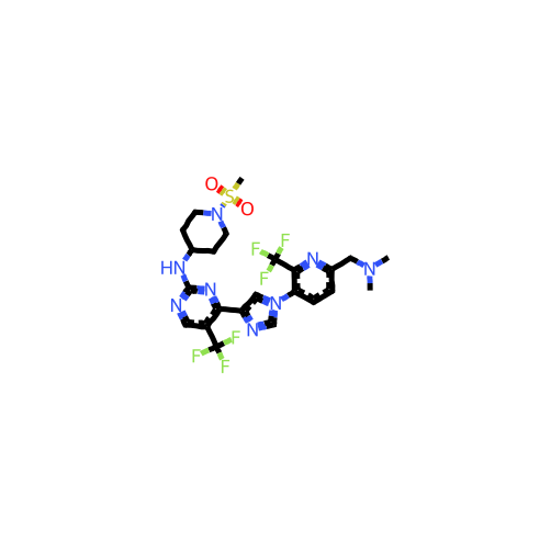 CN(C)Cc1ccc(-n2cnc(-c3nc(NC4CCN(S(C)(=O)=O)CC4)ncc3C(F)(F)F)c2)c(C(F)(F)F)n1